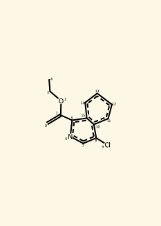 C=C(OCC)c1ncc(Cl)c2ccccc12